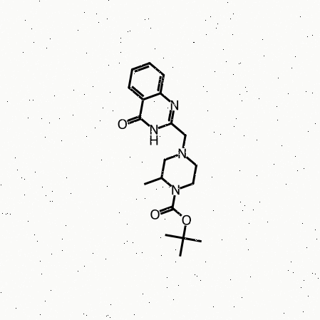 CC1CN(Cc2nc3ccccc3c(=O)[nH]2)CCN1C(=O)OC(C)(C)C